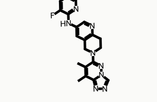 Cc1c(N2CCc3ncc(Nc4ncccc4F)cc3C2)nn2cnnc2c1C